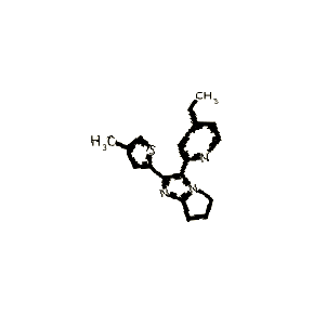 CCc1ccnc(-c2c(-c3cc(C)cs3)nc3n2CCC3)c1